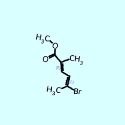 COC(=O)/C(C)=C/C=C(\C)Br